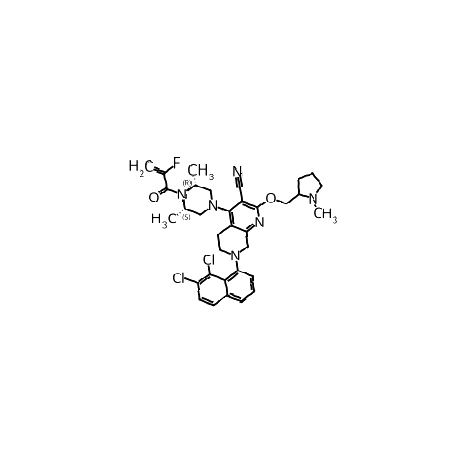 C=C(F)C(=O)N1[C@H](C)CN(c2c(C#N)c(OCC3CCCN3C)nc3c2CCN(c2cccc4ccc(Cl)c(Cl)c24)C3)C[C@@H]1C